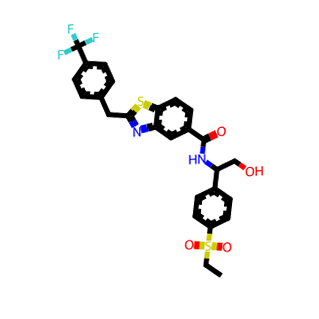 CCS(=O)(=O)c1ccc(C(CO)NC(=O)c2ccc3sc(Cc4ccc(C(F)(F)F)cc4)nc3c2)cc1